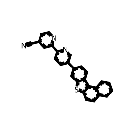 N#Cc1ccnc(-c2ccc(-c3ccc4c(c3)sc3ccc5ccccc5c34)cn2)c1